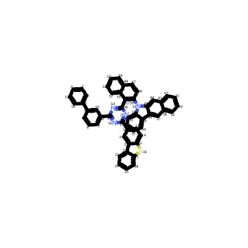 c1ccc(-c2cccc(-c3nc(-c4ccc5sc6ccccc6c5c4)nc(-c4c(-n5c6ccccc6c6cc7ccccc7cc65)ccc5ccccc45)n3)c2)cc1